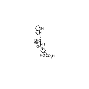 O=C(O)CC1(O)CCN(C(=O)NCCCCc2ccc3c(n2)NCCC3)CC1.O=CO